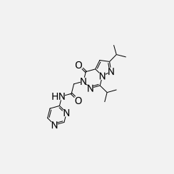 CC(C)c1cc2c(=O)n(CC(=O)Nc3ccncn3)nc(C(C)C)n2n1